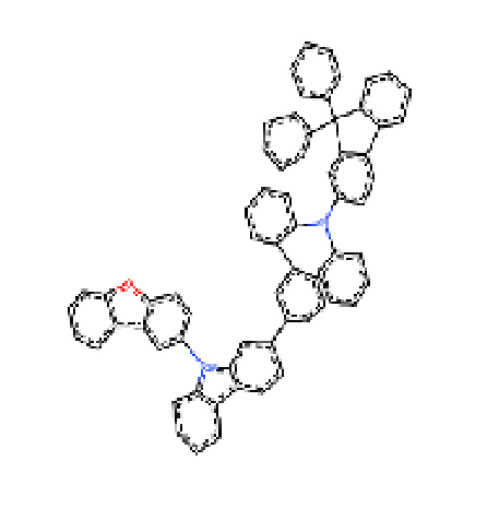 c1ccc(N(c2ccc3c(c2)C(c2ccccc2)(c2ccccc2)c2ccccc2-3)c2ccccc2-c2cccc(-c3ccc4c5ccccc5n(-c5ccc6oc7ccccc7c6c5)c4c3)c2)cc1